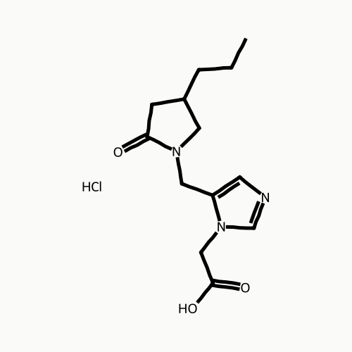 CCCC1CC(=O)N(Cc2cncn2CC(=O)O)C1.Cl